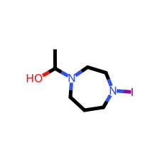 CC(O)N1CCCN(I)CC1